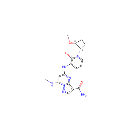 CNc1cc(Nc2cccn([C@H]3CC[C@@H]3OC)c2=O)nc2c(C(N)=O)cnn12